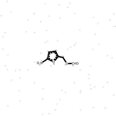 O=[C]OCc1ccc([N+](=O)[O-])o1